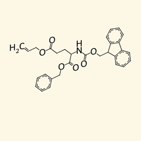 C=CCOC(=O)CCC(NC(=O)OCC1c2ccccc2-c2ccccc21)C(=O)OCc1ccccc1